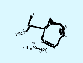 CCC(O)c1ccccc1.NN